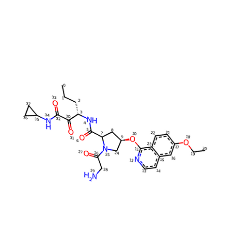 CCC[C@H](NC(=O)C1C[C@@H](Oc2nccc3cc(OCC)ccc23)CN1C(=O)CN)C(=O)C(=O)NC1CC1